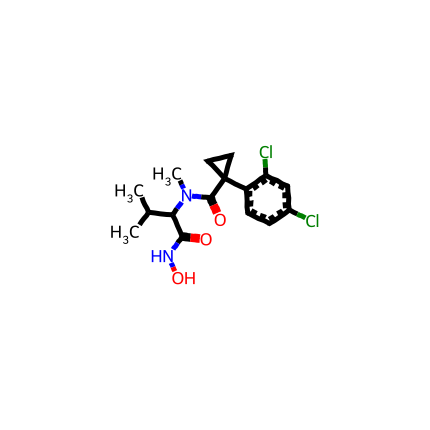 CC(C)C(C(=O)NO)N(C)C(=O)C1(c2ccc(Cl)cc2Cl)CC1